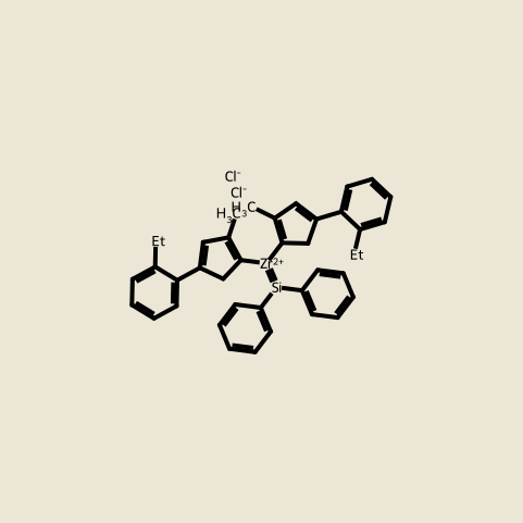 CCc1ccccc1C1=CC(C)=[C]([Zr+2]([C]2=C(C)C=C(c3ccccc3CC)C2)=[Si](c2ccccc2)c2ccccc2)C1.[Cl-].[Cl-]